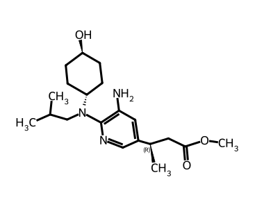 COC(=O)C[C@@H](C)c1cnc(N(CC(C)C)[C@H]2CC[C@H](O)CC2)c(N)c1